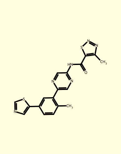 Cc1ccc(-c2cncs2)cc1-c1cnc(NC(=O)c2snnc2C)cn1